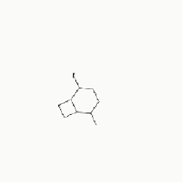 CC1CCC(I)C2CCC12